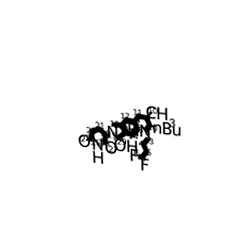 CCCC[C@H](NCCCC(F)F)[C@H](C)Cc1ccc2c(c1)CN(C1CCC(=O)NC1=O)C2O